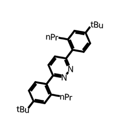 CCCc1cc(C(C)(C)C)ccc1-c1ccc(-c2ccc(C(C)(C)C)cc2CCC)nn1